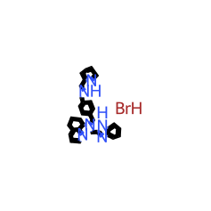 Br.c1ccc(CNCc2ccc(CN(Cc3nc4ccccc4[nH]3)C3CCCc4cccnc43)cc2)nc1